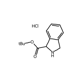 CC(C)(C)OC(=O)C1NCc2ccccc21.Cl